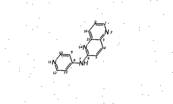 c1cnc2ccc(Nc3ccncc3)nc2c1